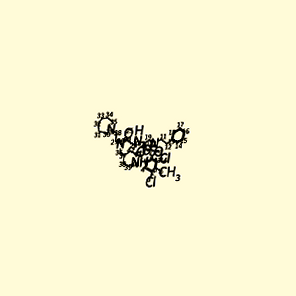 Cc1c(Cl)ccc(S(=O)(=O)N(CCc2ccccc2)CC(=O)NCC(=O)N(CCN2CCCCCC2)CC2CCNCC2)c1Cl